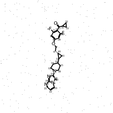 O=C(c1c(F)cc(OCC[C@@H]2CC2C2CCN(c3nc4ncccn4n3)CC2)cc1F)C1CC1